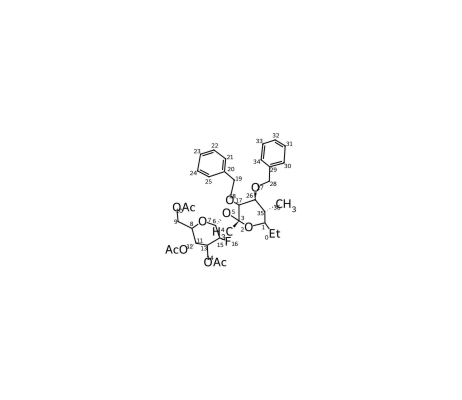 CCC1O[C@](C)(O[C@H]2OC(COC(C)=O)[C@@H](OC(C)=O)C(OC(C)=O)C2F)C(OCc2ccccc2)[C@@H](OCc2ccccc2)[C@@H]1C